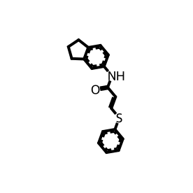 O=C(C=CSc1ccccc1)Nc1ccc2c(c1)CCC2